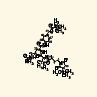 CC(C)[C@H](NC(=O)CCCN1C(=O)CC(C(C)(C)C)C1=O)C(=O)N[C@@H](CCCNC(N)=O)C(=O)Nc1ccc(COC(=O)C(C)(C)C)cc1